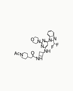 CC(=O)N1CCC(CC(=O)N[C@H]2C[C@H](Nc3cc(-n4c(C(F)F)nc5ccccc54)nc(N4CCOCC4)n3)C2)CC1